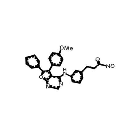 COc1ccc(-c2c(-c3ccccc3)oc3ncnc(Nc4cccc(CCC(=O)N=O)c4)c23)cc1